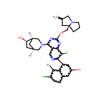 C=C1CN2CCC[C@]2(COc2nc(N3C[C@@H]4C[C@H](C3)[C@H](O)C4)c3cnc(-c4cc(O)cc5ccc(F)c(CC)c45)c(F)c3n2)C1